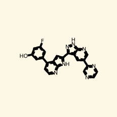 Oc1cc(F)cc(-c2ccnc3[nH]c(-c4n[nH]c5ncc(-c6cnccn6)cc45)cc23)c1